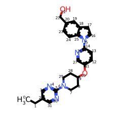 CCc1cnc(N2CCC(Oc3ccc(-n4ccc5cc(CO)ccc54)nc3)CC2)nc1